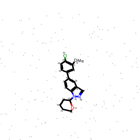 COc1cc(-c2ccc3c(cnn3C3CCCCO3)c2)ccc1Cl